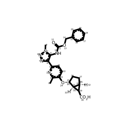 Cc1nc(-c2nnn(C)c2NC(=O)OCc2ccccc2)ccc1O[C@@H]1CC[C@H]2C(C(=O)O)[C@@H]12